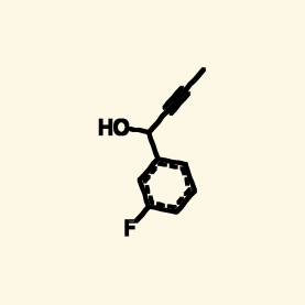 CC#CC(O)c1cccc(F)c1